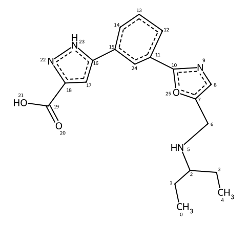 CCC(CC)NCc1cnc(-c2cccc(-c3cc(C(=O)O)n[nH]3)c2)o1